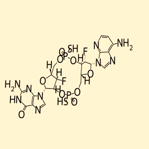 Nc1nc2c(ncn2[C@@H]2O[C@@H]3CO[P@@](=O)(S)O[C@H]4[C@H](F)[C@H](n5cnc6c(N)ccnc65)O[C@@H]4CO[P@@](=O)(S)O[C@@H]2[C@H]3F)c(=O)[nH]1